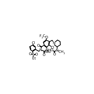 CCS(=O)(=O)c1ccc(Cl)cc1Cn1c(=O)[nH]c2c(Cl)c(CN3CCCC(N(C)C(=O)OC(C)(C)C)C3)c(OC(F)(F)F)cc2c1=O